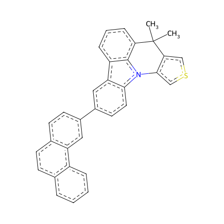 CC1(C)c2cscc2-n2c3ccc(-c4ccc5ccc6ccccc6c5c4)cc3c3cccc1c32